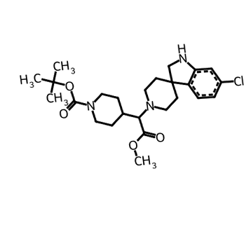 COC(=O)C(C1CCN(C(=O)OC(C)(C)C)CC1)N1CCC2(CC1)CNc1cc(Cl)ccc12